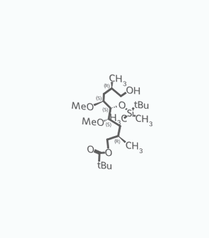 CO[C@@H](C[C@@H](C)CO)[C@H](O[Si](C)(C)C(C)(C)C)[C@H](C[C@@H](C)COC(=O)C(C)(C)C)OC